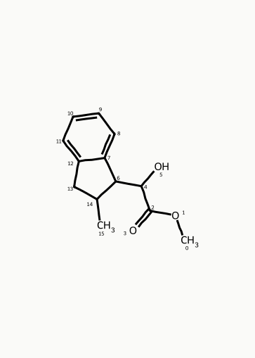 COC(=O)C(O)C1c2ccccc2CC1C